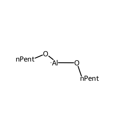 CCCCC[O][Al][O]CCCCC